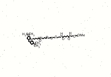 COCCOCCNC(=O)CCCC(=O)NCCCOCCOCCOCCCNC(=O)CCCCC[n+]1c2cc(N(C)C)ccc2cc2ccc(N(C)C)cc21